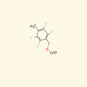 Cc1c(F)c(F)c(COC=O)c(F)c1F